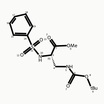 COC(=O)[C@H](CNC(=O)OC(C)(C)C)NS(=O)(=O)c1ccccc1